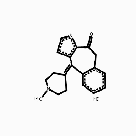 CN1CCC(=C2c3ccccc3CC(=O)c3sccc32)CC1.Cl